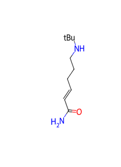 CC(C)(C)NCCCC=CC(N)=O